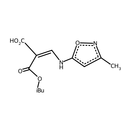 CCC(C)OC(=O)C(=CNc1cc(C)no1)C(=O)O